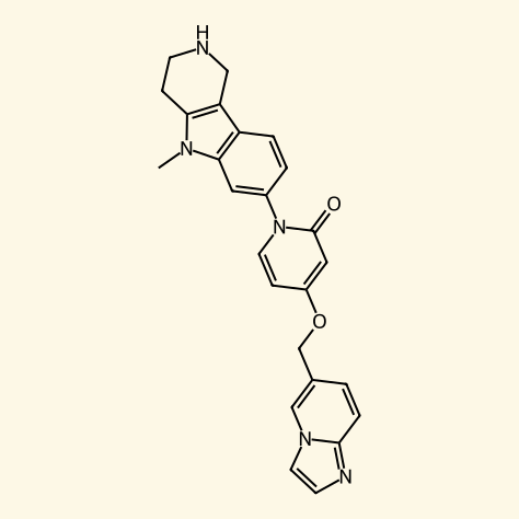 Cn1c2c(c3ccc(-n4ccc(OCc5ccc6nccn6c5)cc4=O)cc31)CNCC2